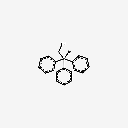 N#CCP(Br)(c1ccccc1)(c1ccccc1)c1ccccc1